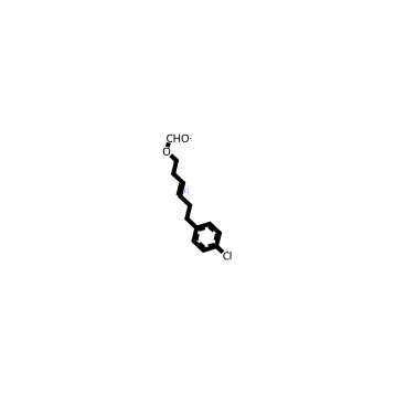 O=[C]OCC/C=C/CCc1ccc(Cl)cc1